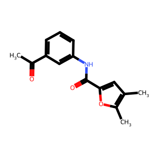 CC(=O)c1cccc(NC(=O)c2cc(C)c(C)o2)c1